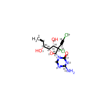 C=C[C@@H](O)[C@H]1O[C@@H](n2cnc(N)nc2=O)C(Cl)(C#CCl)[C@H]1O